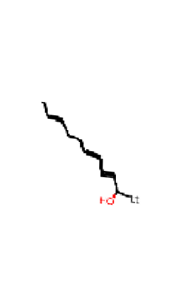 CC=CCCC=CC=CC(O)CC